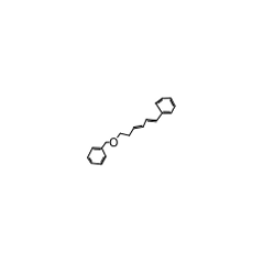 C(C=Cc1ccccc1)=CCCOCc1ccccc1